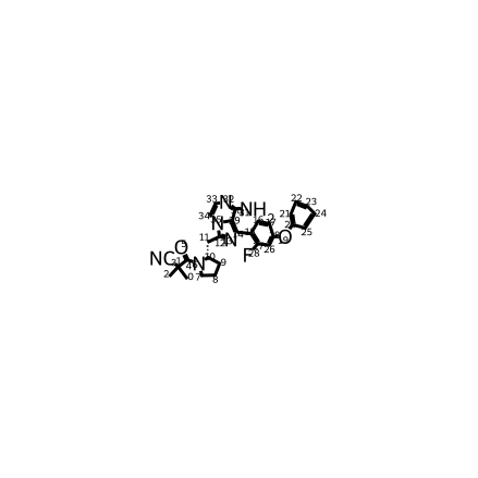 CC(C)(C#N)C(=O)N1CCC[C@H]1Cc1nc(-c2ccc(Oc3ccccc3)cc2F)c2c(N)nccn12